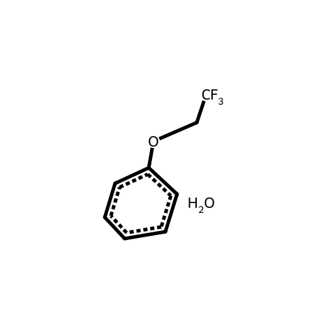 FC(F)(F)COc1ccccc1.O